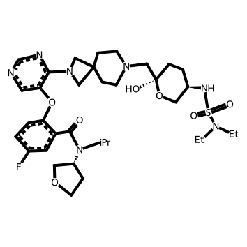 CCN(CC)S(=O)(=O)N[C@@H]1CC[C@](O)(CN2CCC3(CC2)CN(c2ncncc2Oc2ccc(F)cc2C(=O)N(C(C)C)[C@@H]2CCOC2)C3)OC1